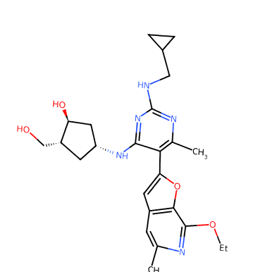 CCOc1nc(C)cc2cc(-c3c(C)nc(NCC4CC4)nc3N[C@@H]3C[C@H](CO)[C@@H](O)C3)oc12